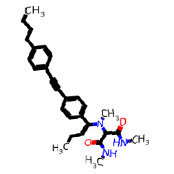 CCC=C(c1ccc(C#Cc2ccc(CCCC)cc2)cc1)N(C)C(C(=O)NC)C(=O)NC